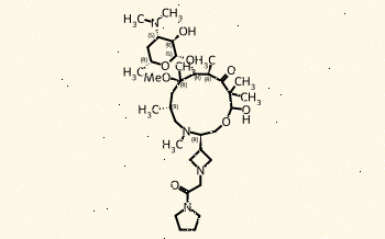 CO[C@]1(C)C[C@@H](C)CN(C)[C@H](C2CN(CC(=O)N3CCCC3)C2)COC(O)C(C)(C)C(=O)[C@H](C)[C@H]1O[C@@H]1O[C@H](C)C[C@H](N(C)C)[C@H]1O